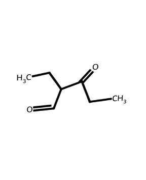 CCC(=O)C(C=O)CC